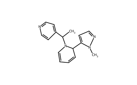 CC(c1ccncc1)N1C=CC=CC1c1ccnn1C